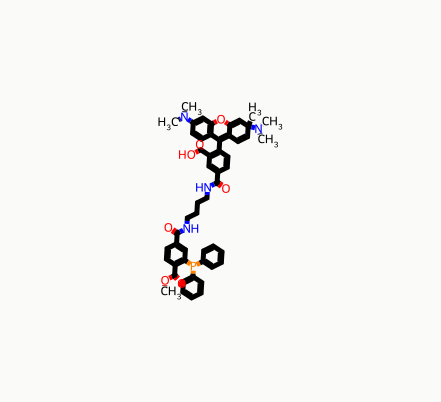 COC(=O)c1ccc(C(=O)NCCCCNC(=O)c2ccc(C3=C4C=CC(C)(N(C)C)C=C4Oc4cc(N(C)C)ccc43)c(C(=O)O)c2)cc1P(c1ccccc1)c1ccccc1